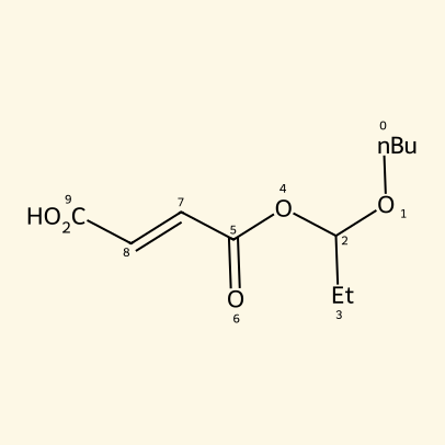 CCCCOC(CC)OC(=O)C=CC(=O)O